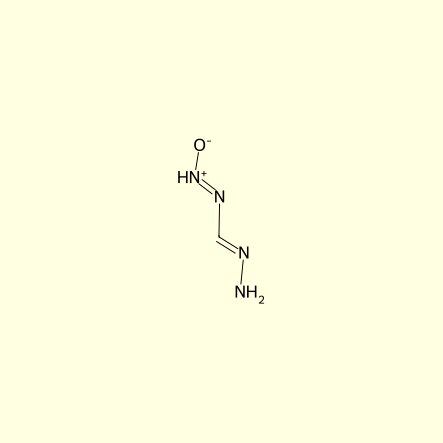 NN=CN=[NH+][O-]